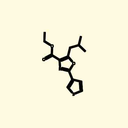 CCOC(=O)c1nc(-c2ccsc2)oc1CC(C)C